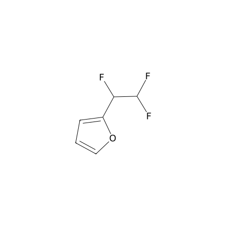 FC(F)C(F)c1ccco1